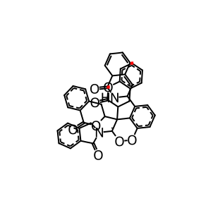 O=C1OC(C2(C3Cc4ccccc4OC3=O)[C](N3Cc4ccccc4C3=O)OOc3cccc(C4C=C5C=CC=CC5C(=O)N4)c32)Cc2ccccc21